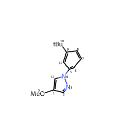 COc1cnn(-c2cccc(C(C)(C)C)c2)c1